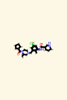 Cc1c(CN2CCN(C(=O)C3CCCC3)C(C)C2)cc(Cl)cc1NC(=O)C1CCCNC1